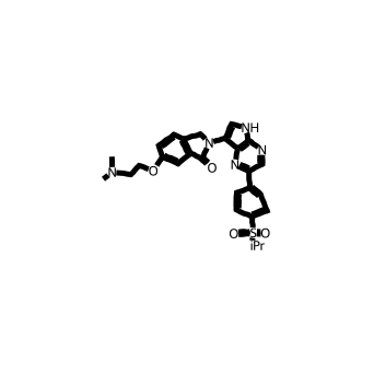 CC(C)S(=O)(=O)c1ccc(-c2cnc3[nH]cc(N4Cc5ccc(OCCN(C)C)cc5C4=O)c3n2)cc1